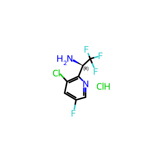 Cl.N[C@H](c1ncc(F)cc1Cl)C(F)(F)F